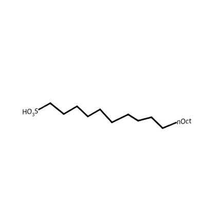 CCCCCCCCCCCCCCCCCCS(=O)(=O)O